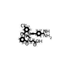 N=C(N)c1ccc(C#CN2c3ccc(Cl)cc3C(=O)N3c4ccccc4C(=O)N(CCC(=O)O)CC23)cc1